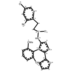 COc1cccc(OC)c1-n1c(N[S+]([O-])CCc2ncc(Cl)cc2C#N)nnc1-c1ccco1